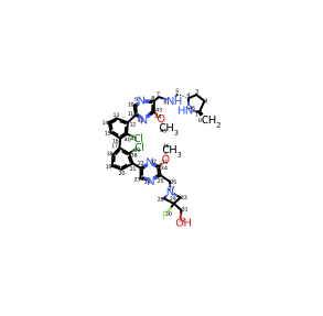 C=C1CC[C@@H](CNCc2ncc(-c3cccc(-c4cccc(-c5cnc(CN6CC(F)(CO)C6)c(OC)n5)c4Cl)c3Cl)nc2OC)N1